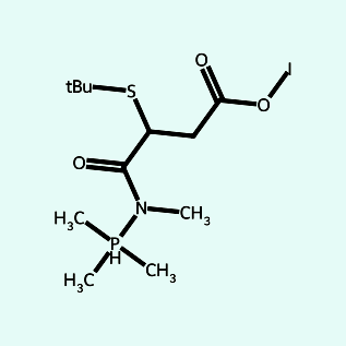 CN(C(=O)C(CC(=O)OI)SC(C)(C)C)[PH](C)(C)C